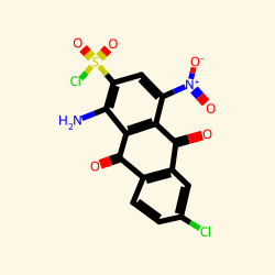 Nc1c(S(=O)(=O)Cl)cc([N+](=O)[O-])c2c1C(=O)c1ccc(Cl)cc1C2=O